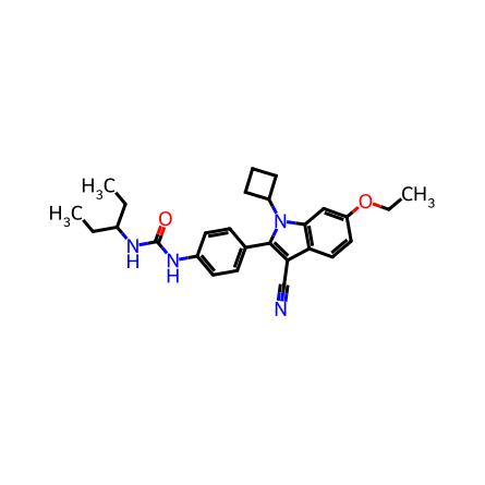 CCOc1ccc2c(C#N)c(-c3ccc(NC(=O)NC(CC)CC)cc3)n(C3CCC3)c2c1